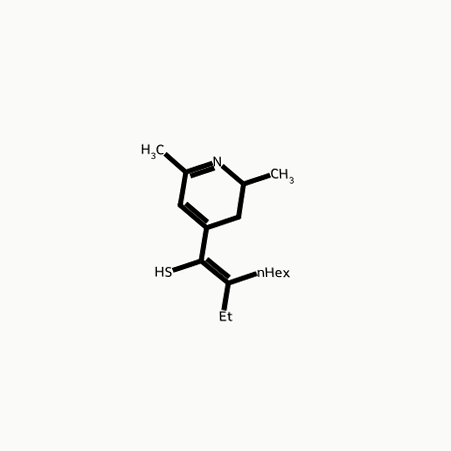 CCCCCC/C(CC)=C(/S)C1=CC(C)=NC(C)C1